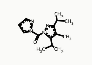 Cc1c(C(C)C)nn(C(=O)n2cccn2)c1C(C)C